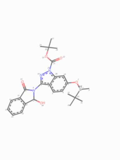 C[SiH](Oc1ccc2c(N3C(=O)c4ccccc4C3O)nn(C(=O)OC(C)(C)C)c2c1)C(C)(C)C